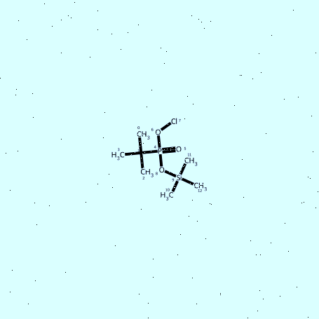 CC(C)(C)P(=O)(OCl)O[Si](C)(C)C